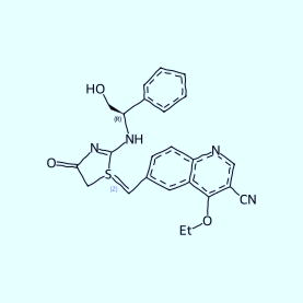 CCOc1c(C#N)cnc2ccc(/C=S3/CC(=O)N=C3N[C@@H](CO)c3ccccc3)cc12